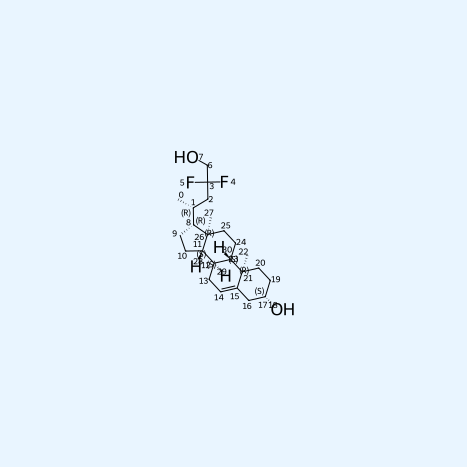 C[C@H](CC(F)(F)CO)[C@H]1CC[C@H]2[C@@H]3CC=C4C[C@@H](O)CC[C@]4(C)[C@H]3CC[C@]12C